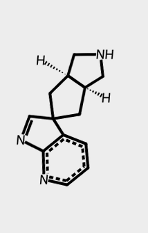 C1=Nc2ncccc2C12C[C@H]1CNC[C@H]1C2